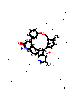 CC1C=NC=C(C2(O)c3ccc(C#N)c(c3)COc3cccc(c3)-c3cc(=O)[nH]c4ccc2cc34)C1